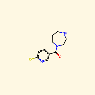 O=C(c1ccc(S)nc1)N1CCCNCC1